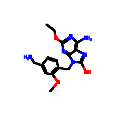 CCOc1nc(N)c2nc(O)n(Cc3ccc(CN)cc3OC)c2n1